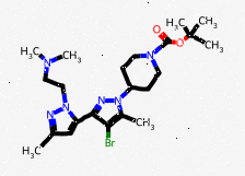 Cc1cc(-c2nn(C3CCN(C(=O)OC(C)(C)C)CC3)c(C)c2Br)n(CCN(C)C)n1